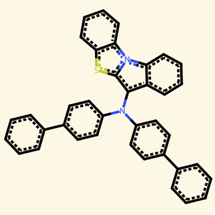 c1ccc(-c2ccc(N(c3ccc(-c4ccccc4)cc3)c3c4ccccc4n4c3sc3ccccc34)cc2)cc1